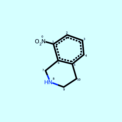 O=[N+]([O-])c1cccc2c1CNCC2